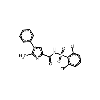 Cc1nc(C(=O)NS(=O)(=O)c2c(Cl)cccc2Cl)cn1-c1ccccc1